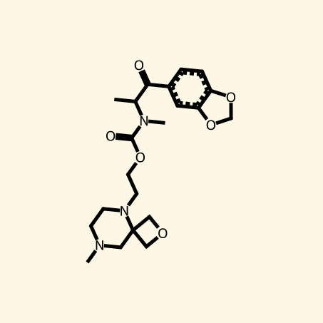 CC(C(=O)c1ccc2c(c1)OCO2)N(C)C(=O)OCCN1CCN(C)CC12COC2